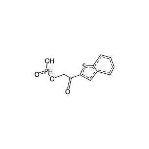 O=C(CO[PH](=O)O)c1cc2ccccc2s1